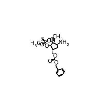 COC1[C@@H](OP(O)(=S)OC)[C@@H](COC(=O)OCc2ccccc2)C[C@@H]1N